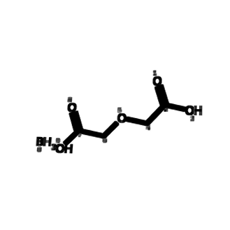 B.O=C(O)COCC(=O)O